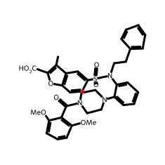 COc1cccc(OC)c1C(=O)N1CCN(c2ccccc2N(CCc2ccccc2)S(=O)(=O)c2ccc3oc(C(=O)O)c(C)c3c2)CC1